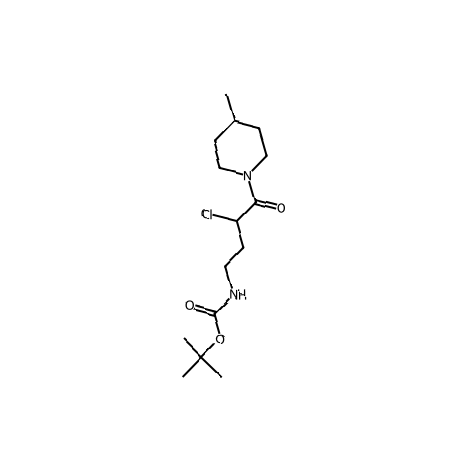 CC1CCN(C(=O)C(Cl)CCNC(=O)OC(C)(C)C)CC1